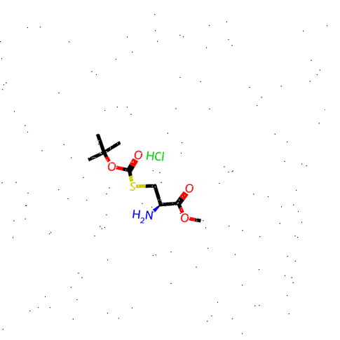 COC(=O)[C@@H](N)CSC(=O)OC(C)(C)C.Cl